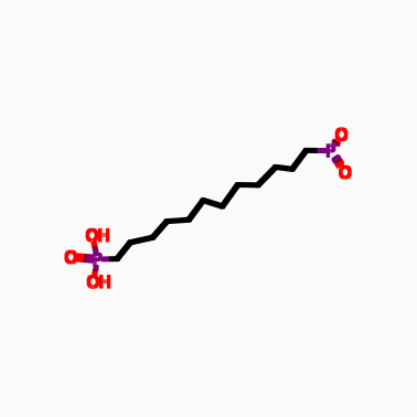 O=P(=O)CCCCCCCCCCCCP(=O)(O)O